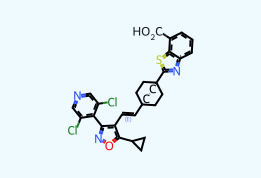 O=C(O)c1cccc2nc(C34CCC(/C=C/c5c(-c6c(Cl)cncc6Cl)noc5C5CC5)(CC3)CC4)sc12